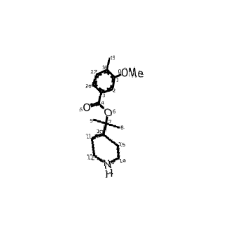 COc1cc(C(=O)OC(C)(C)C2CCNCC2)ccc1C